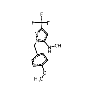 CNc1cc(C(F)(F)F)nn1Cc1ccc(OC)cc1